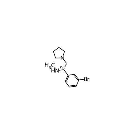 CN[C@H](CN1CCCC1)c1cccc(Br)c1